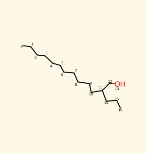 CCCCCCCCCCCC(CO)CCC